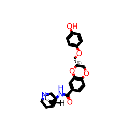 O=C(N[C@H]1CN2CCC1CC2)c1ccc2c(c1)O[C@H](COc1ccc(O)cc1)CO2